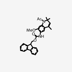 COc1cc2c(cc1NC(=O)OCC1c3ccccc3-c3ccccc31)C(C)=CC(C)(C)N2C(C)=O